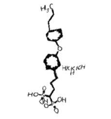 CCCc1ccc(Oc2cccc(CCCC(P(=O)(O)O)S(=O)(=O)O)c2)cc1.[KH].[KH].[KH]